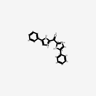 O=C(c1ncc(-c2ccccc2)s1)c1ncc(-c2ccccc2)s1